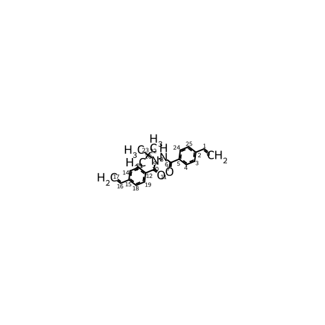 C=Cc1ccc(C(=O)NN(C(=O)c2ccc(C=C)cc2)C(C)(C)C)cc1